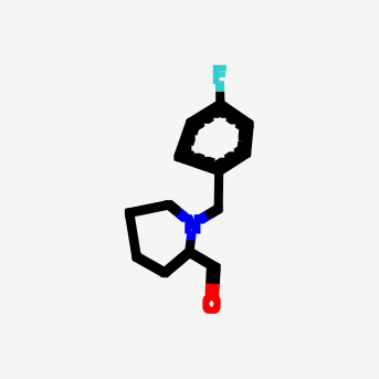 O=CC1CCCCN1Cc1ccc(F)cc1